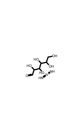 N=[N+]=N.O=CC(O)C(O)C(O)C(O)CO